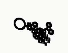 CN(C)C(=O)[C@H](CC(=O)OC(c1ccccc1)(c1ccc(C2CCCCCCCCCCCCC2)cc1)c1ccccc1Cl)N(C)C(=O)OCC1c2ccccc2-c2ccccc21